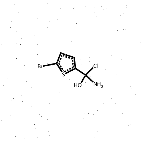 NC(O)(Cl)c1ccc(Br)s1